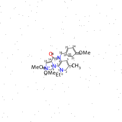 CCN1CC(C)=CC2=C1N1C[N+](OC)(OC)C=C1C(=O)N2Cc1ccc(OC)cc1